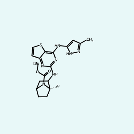 Cc1cc(Nc2nc(NC3CC4CC[C@H]3N4C(=O)OC(C)(C)C)nc3ccsc23)[nH]n1